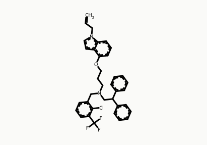 C=CCn1ccc2c(OCCCN(Cc3cccc(C(F)(F)F)c3Cl)CC(c3ccccc3)c3ccccc3)cccc21